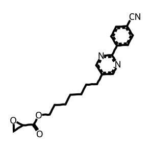 N#Cc1ccc(-c2ncc(CCCCCCCOC(=O)C3CO3)cn2)cc1